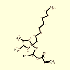 C=CC(=O)OC(C)O[Si](CCCCCCCCC)(OCC)OCC